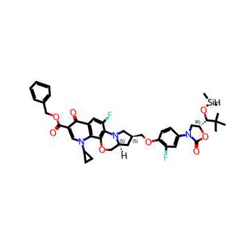 C[SiH](C)OC([C@H]1CN(c2ccc(OC[C@H]3C[C@H]4COc5c(c(F)cc6c(=O)c(C(=O)OCc7ccccc7)cn(C7CC7)c56)N4C3)c(F)c2)C(=O)O1)C(C)(C)C